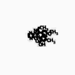 CCc1nn(-c2nccnc2C)c(Nc2ccc(C)cc2C(=O)O)c1-c1ccc(OC)nc1